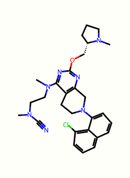 CN(C#N)CCN(C)c1nc(OC[C@@H]2CCCN2C)nc2c1CCN(c1cccc3cccc(Cl)c13)C2